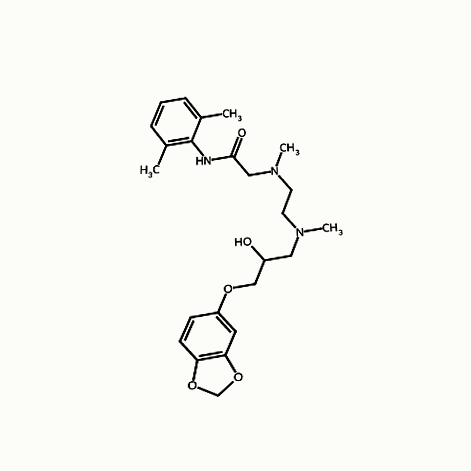 Cc1cccc(C)c1NC(=O)CN(C)CCN(C)CC(O)COc1ccc2c(c1)OCO2